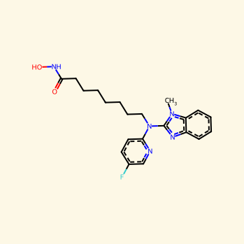 Cn1c(N(CCCCCCCC(=O)NO)c2ccc(F)cn2)nc2ccccc21